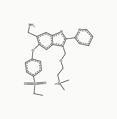 CCS(=O)(=O)c1ccc(Oc2cc3c(cc2CN)nc(-c2ccccn2)n3COCC[Si](C)(C)C)cc1